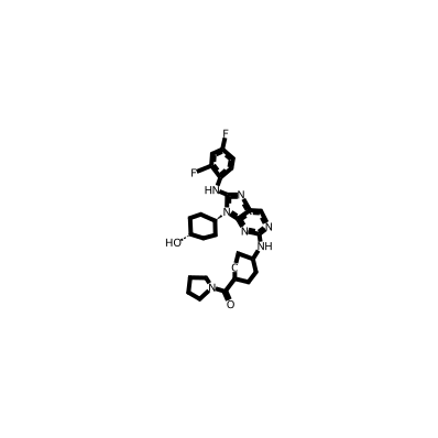 O=C(C1CCC(Nc2ncc3nc(Nc4ccc(F)cc4F)n([C@H]4CC[C@@H](O)CC4)c3n2)CC1)N1CCCC1